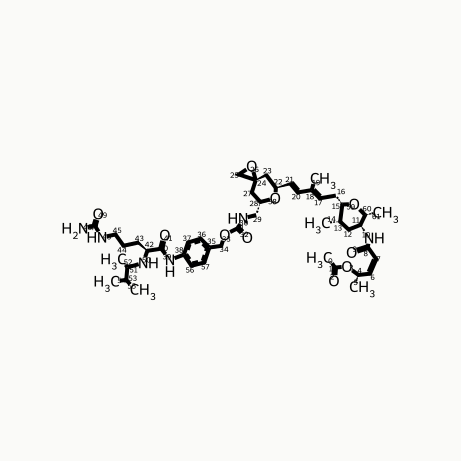 CC(=O)O[C@@H](C)/C=C\C(=O)N[C@@H]1C[C@H](C)[C@H](C/C=C(C)/C=C/[C@@H]2C[C@]3(CO3)C[C@@H](CNC(=O)OCc3ccc(NC(=O)[C@H](CCCNC(N)=O)NC(C)C(C)C)cc3)O2)O[C@@H]1C